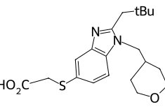 CC(C)(C)Cc1nc2cc(SCC(=O)O)ccc2n1CC1CCOCC1